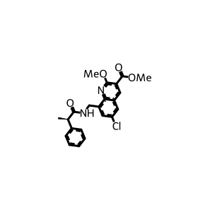 COC(=O)c1cc2cc(Cl)cc(CNC(=O)[C@H](C)c3ccccc3)c2nc1OC